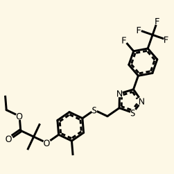 CCOC(=O)C(C)(C)Oc1ccc(SCc2nc(-c3ccc(C(F)(F)F)c(F)c3)ns2)cc1C